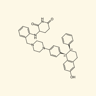 O=C1CCC(Nc2ccccc2CN2CCN(c3ccc([C@@H]4c5ccc(O)cc5CC[C@@H]4c4ccccc4)cc3)CC2)C(=O)N1